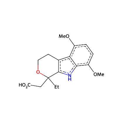 CCC1(CC(=O)O)OCCc2c1[nH]c1c(OC)ccc(OC)c21